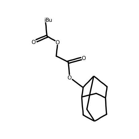 CCC(C)C(=O)OCC(=O)OC1C2CC3CC(C2)CC1C3